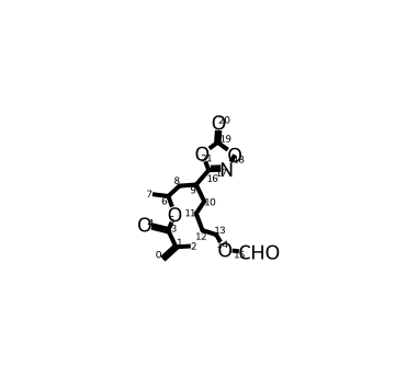 C=C(C)C(=O)OC(C)CC(CCCCOC=O)c1noc(=O)o1